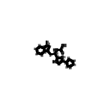 O=C(O)N[C@H](Cc1c[nH]c2ccccc12)c1nc(-c2ccccc2)c[nH]1